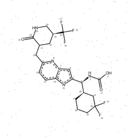 O=C(O)N[C@H](c1cn2nc(CC3C[C@H](C(F)(F)F)CNC3=O)ccc2n1)[C@@H]1CCCC(F)(F)C1